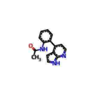 CC(=O)Nc1ccccc1-c1ccnc2[nH]ccc12